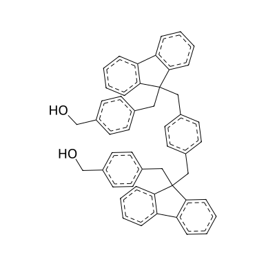 OCc1ccc(CC2(Cc3ccc(CC4(Cc5ccc(CO)cc5)c5ccccc5-c5ccccc54)cc3)c3ccccc3-c3ccccc32)cc1